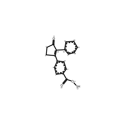 O=C1CCC(c2ccc(C(=O)OS)cc2)=C1c1ccccc1